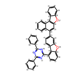 c1ccc(-c2nc(-c3ccccc3)nc(-c3cccc4oc5cc(-c6cc7oc8ccccc8c7c7ccccc67)ccc5c34)n2)cc1